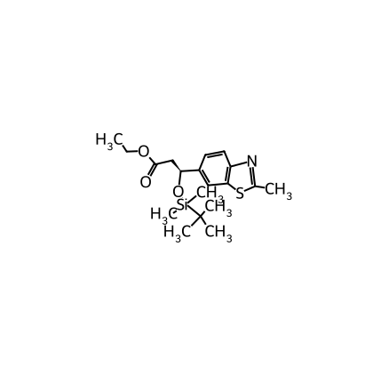 CCOC(=O)C[C@H](O[Si](C)(C)C(C)(C)C)c1ccc2nc(C)sc2c1